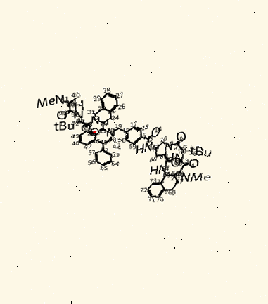 CN[C@@H](C)C(=O)N[C@H](C(=O)N1C[C@@H](NC(=O)c2ccc(CN(C(=O)[C@@H]3Cc4ccccc4CN3C(=O)[C@@H](NC(=O)[C@H](C)NC)C(C)(C)C)[C@H](C)C(c3ccccc3)c3ccccc3)cc2)CC1C(=O)N[C@@H]1CCCc2ccccc21)C(C)(C)C